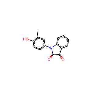 Cc1cc(N2C(=O)C(=O)c3ccccc32)ccc1O